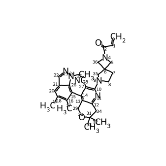 C=CC(=O)N1CC2(CCN(c3nc4c(c(-c5c(C)c(C)cc6cnn(C)c56)c3C#N)COC(C)(C)C4)C2)C1